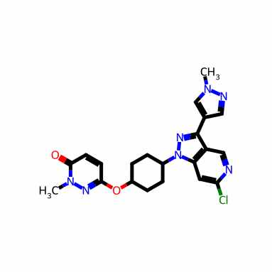 Cn1cc(-c2nn(C3CCC(Oc4ccc(=O)n(C)n4)CC3)c3cc(Cl)ncc23)cn1